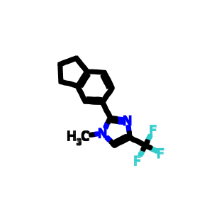 Cn1cc(C(F)(F)F)nc1-c1ccc2c(c1)CCC2